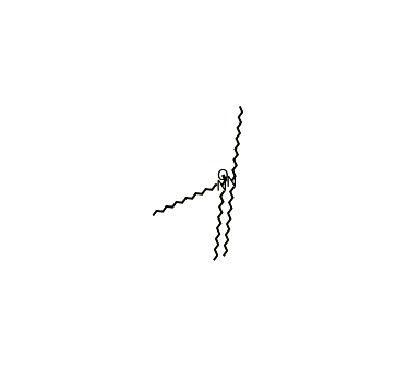 CCCCCCCCCCCCCCN(CCCCCCCCCCCCCC)C(=O)N(CCCCCCCCCCCCCC)CCCCCCCCCCCCCC